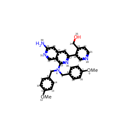 COc1ccc(CN(Cc2ccc(OC)cc2)c2nc(-c3cnccc3CO)cc3cc(N)ncc23)cc1